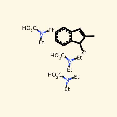 CC1=Cc2ccccc2[CH]1[Zr].CCN(CC)C(=O)O.CCN(CC)C(=O)O.CCN(CC)C(=O)O